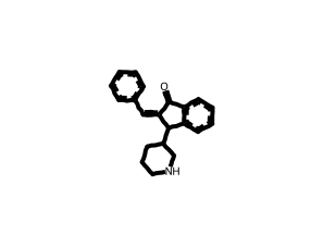 O=C1C(=Cc2ccccc2)C(C2CCCNC2)c2ccccc21